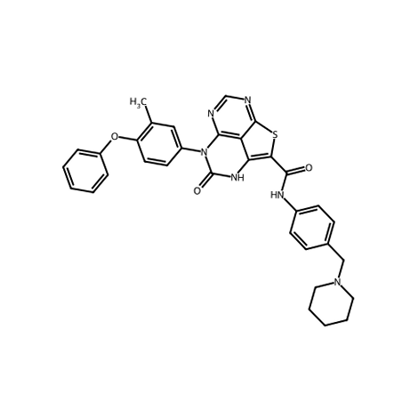 Cc1cc(N2C(=O)Nc3c(C(=O)Nc4ccc(CN5CCCCC5)cc4)sc4ncnc2c34)ccc1Oc1ccccc1